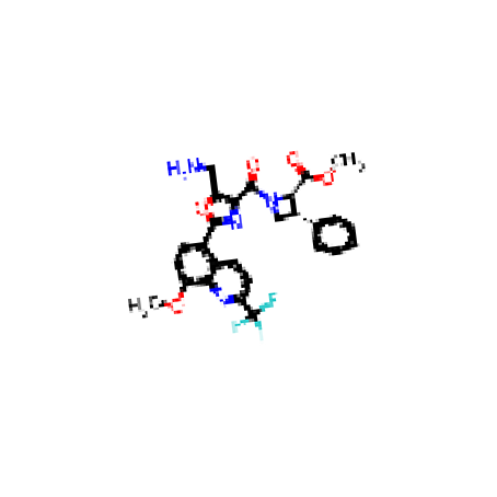 COC(=O)[C@H]1[C@H](c2ccccc2)CN1C(=O)c1nc(-c2ccc(OC)c3nc(C(F)(F)F)ccc23)oc1CN